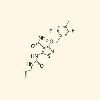 C=CCNC(=O)Nc1snc(OCc2cc(F)c(C)cc2F)c1C(N)=O